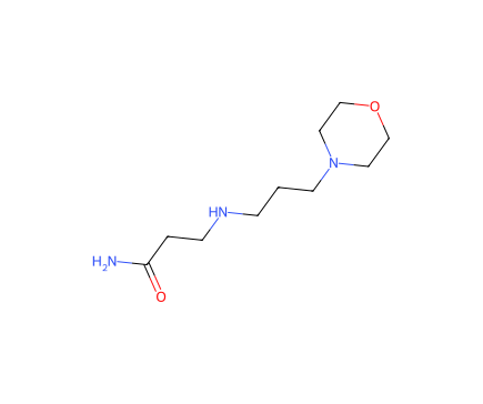 NC(=O)CCNCCCN1CCOCC1